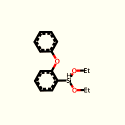 CCO[SiH](OCC)c1ccccc1Oc1ccccc1